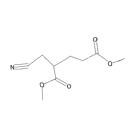 COC(=O)CCC(CC#N)C(=O)OC